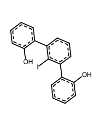 Oc1ccccc1-c1cccc(-c2ccccc2O)c1I